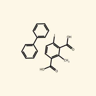 Cc1c(C(=O)O)ccc(I)c1C(=O)O.c1ccc(-c2ccccc2)cc1